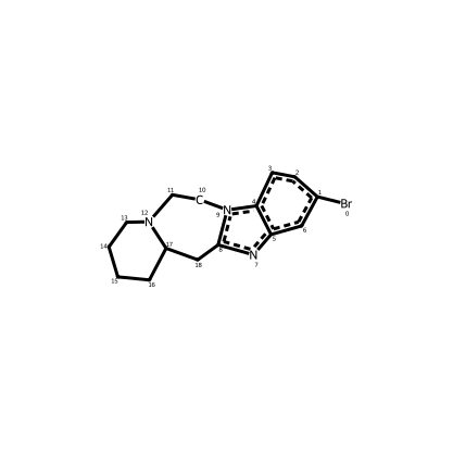 Brc1ccc2c(c1)nc1n2CCN2CCCCC2C1